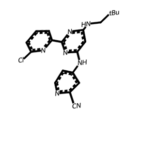 CC(C)(C)CNc1cc(Nc2ccnc(C#N)c2)nc(-c2cccc(Cl)n2)n1